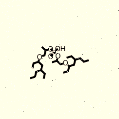 CCCC(CC)CC(CC)OCC(C)OP(=O)(O)OC(C)COC(CC)CC(CC)CCC